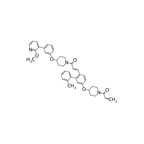 C=CC(=O)N1CCC(Oc2ccc(/C=C/C(=O)N3CCC(Oc4cccc(-c5cccnc5OC)c4)CC3)c(-c3ccccc3C)c2)CC1